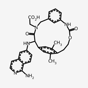 Cc1cc2cc(C)c1CCOC(=O)Nc1cccc(c1)CN(CC(=O)O)C(=O)C2Nc1ccc2c(N)nccc2c1